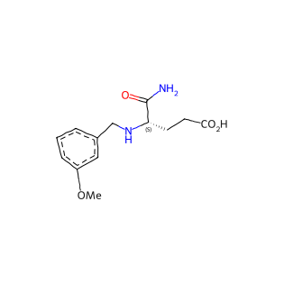 COc1cccc(CN[C@@H](CCC(=O)O)C(N)=O)c1